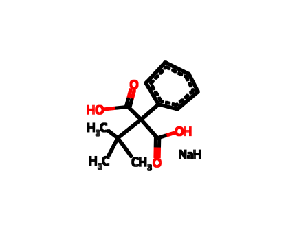 CC(C)(C)C(C(=O)O)(C(=O)O)c1ccccc1.[NaH]